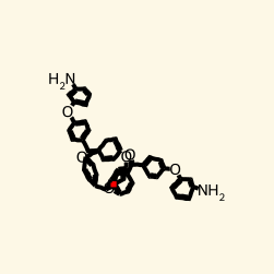 Nc1cccc(Oc2ccc(C(=O)C34C=CC(=CC3)Oc3ccc(c5c3C3(C(=O)c6ccc(Oc7cccc(N)c7)cc6)C=CC(=CC3)O5)-c3ccc4cc3)cc2)c1